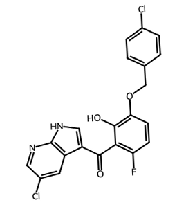 O=C(c1c(F)ccc(OCc2ccc(Cl)cc2)c1O)c1c[nH]c2ncc(Cl)cc12